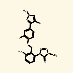 Cc1cc(-c2nn(C)cc2Br)ccc1OCc1c(C)cccc1-n1nnn(C)c1=O